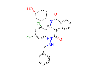 O=C(NNCc1ccccc1)[C@@H]1c2ccccc2C(=O)N([C@H]2CC[C@H](O)CC2)[C@H]1c1ccc(Cl)cc1Cl